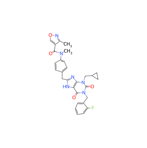 Cc1nocc1C(=O)N(C)c1ccc(Cc2nc3c([nH]2)c(=O)n(Cc2ccccc2F)c(=O)n3CC2CC2)cc1